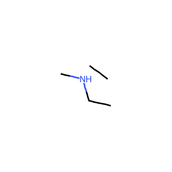 CC.CCNC